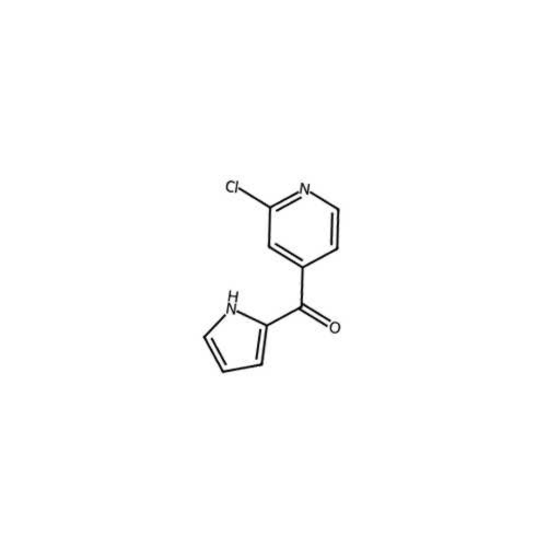 O=C(c1ccnc(Cl)c1)c1ccc[nH]1